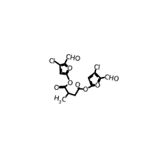 CC(CC(=O)Oc1cc(Cl)c(C=O)o1)C(=O)Oc1cc(Cl)c(C=O)o1